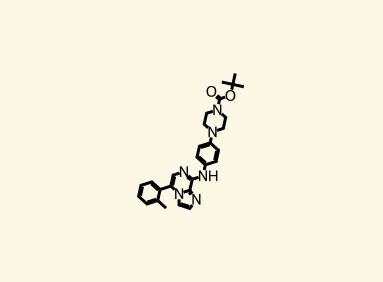 Cc1ccccc1-c1cnc(Nc2ccc(N3CCN(C(=O)OC(C)(C)C)CC3)cc2)c2nccn12